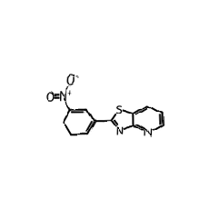 O=[N+]([O-])C1=CC(c2nc3ncccc3s2)=CCC1